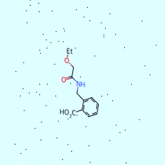 CCOCC(=O)NCc1ccccc1C(=O)O